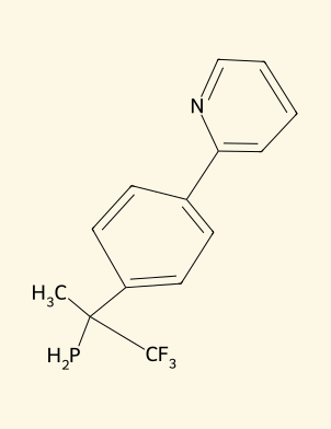 CC(P)(c1ccc(-c2ccccn2)cc1)C(F)(F)F